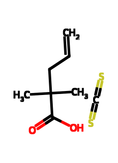 C=CCC(C)(C)C(=O)O.S=C=S